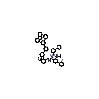 N/C(=N\C(=N/Cc1cccc2oc3ccc(-c4cccc(-c5ccc6c(c5)-c5ccccc5C65c6ccccc6-c6ccccc65)c4)cc3c12)c1ccc(-c2ccccc2)cc1)c1cccc(-c2ccccc2)c1